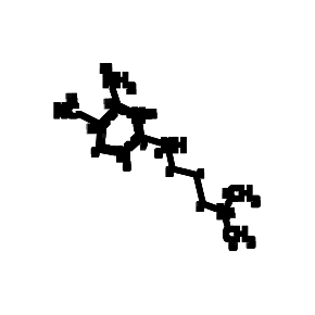 CN(C)CCCNc1ncc(C#N)c(N)n1